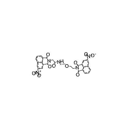 O=C(CN1C(=O)c2cccc3cc([N+](=O)[O-])cc(c23)C1=O)NCCOCCN1C(=O)c2cccc3cc([N+](=O)[O-])cc(c23)C1=O